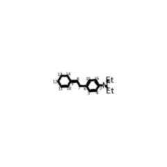 CCN(CC)c1ccc(C/C=C2\C=CCCC2)cc1